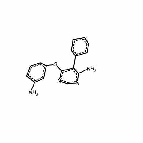 Nc1cccc(Oc2ncnc(N)c2-c2cc[c]cc2)c1